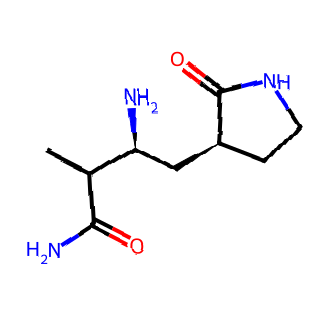 CC(C(N)=O)[C@@H](N)C[C@@H]1CCNC1=O